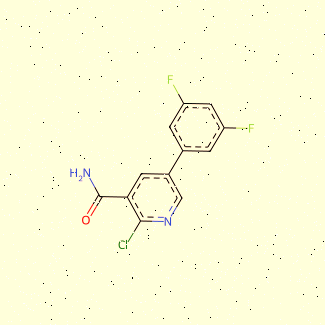 NC(=O)c1cc(-c2cc(F)cc(F)c2)cnc1Cl